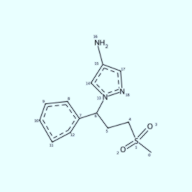 CS(=O)(=O)CCC(c1ccccc1)n1cc(N)cn1